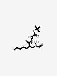 CCCCCC(CN(O)C=O)C(=O)NNC(=O)OC(C)(C)C